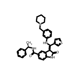 C[C@@H](NC(=O)c1ccc2c(c1)C(=C(Nc1cccc(CN3CCCCC3)c1)c1ccsc1)C(=O)N2)c1ccccc1